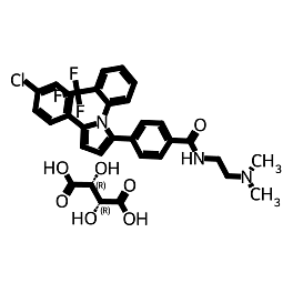 CN(C)CCNC(=O)c1ccc(-c2ccc(-c3ccc(Cl)cc3)n2-c2ccccc2C(F)(F)F)cc1.O=C(O)[C@H](O)[C@@H](O)C(=O)O